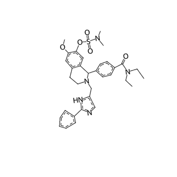 CCN(CC)C(=O)c1ccc(C2c3cc(OS(=O)(=O)N(C)C)c(OC)cc3CCN2Cc2cnc(-c3ccccc3)[nH]2)cc1